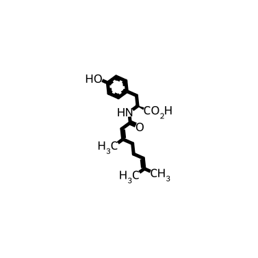 CC(C)=CCCC(C)=CC(=O)N[C@@H](Cc1ccc(O)cc1)C(=O)O